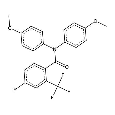 COc1ccc(N(C(=O)c2ccc(F)cc2C(F)(F)F)c2ccc(OC)cc2)cc1